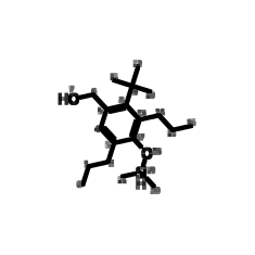 CCCc1cc(CO)c(C(C)(C)C)c(CCC)c1O[SiH](C)C